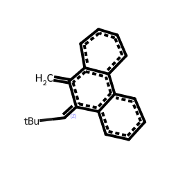 C=c1/c(=C\C(C)(C)C)c2ccccc2c2ccccc12